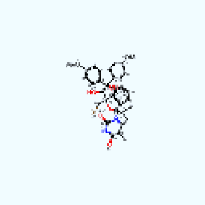 COc1ccc(C(c2ccccc2)(c2ccc(OC)cc2)C(O)[C@@]2(CBr)O[C@](n3cc(C)c(=O)[nH]c3=O)([SiH](C)C)C[C@@]2(O)C(C)(C)C)cc1